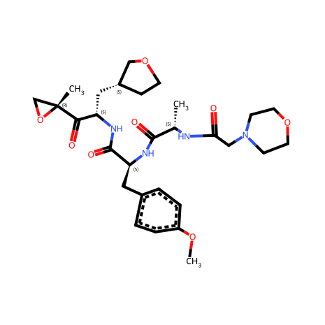 COc1ccc(C[C@H](NC(=O)[C@H](C)NC(=O)CN2CCOCC2)C(=O)N[C@@H](C[C@H]2CCOC2)C(=O)[C@@]2(C)CO2)cc1